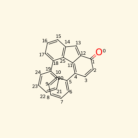 O=C1C=CC(c2ccccc2)=C2C1=Cc1cccc(-c3ccccc3)c12